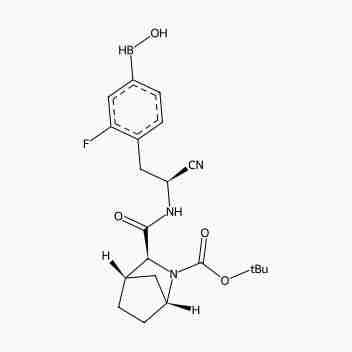 CC(C)(C)OC(=O)N1[C@@H]2CC[C@@H](C2)[C@H]1C(=O)N[C@H](C#N)Cc1ccc(BO)cc1F